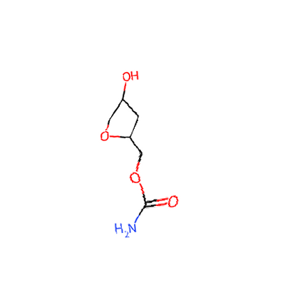 NC(=O)OCC1CC(O)CO1